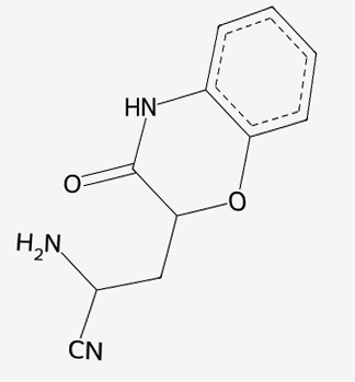 N#CC(N)CC1Oc2ccccc2NC1=O